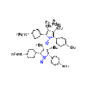 CCCCCc1ccc(C2=C(CCCC)C(CCCC)=C(c3ccc(CCCC)cc3)[N+]2=[N-])cc1.CCCCCc1ccc(C2=C(CCCC)C(CCCC)=C(c3ccc(CCCC)cc3)[N+]2=[N-])cc1.C[CH2][Pd][CH2]C.[Ni]